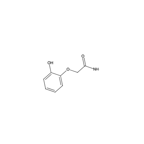 [NH]C(=O)COc1ccccc1O